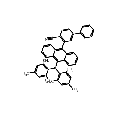 Cc1cc(C)c(B(c2c(C)cc(C)cc2C)c2c3ccccc3c(-c3cc(-c4ccccc4)ccc3C#N)c3ccccc23)c(C)c1